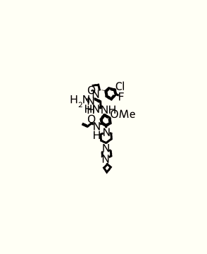 C=CC(=O)Nc1cc(NC(=N)/C=C(\NN)N2OCC[C@@H]2c2ccc(F)c(Cl)c2)c(OC)cc1N1CCC(N2CCN(C3CCC3)CC2)CC1